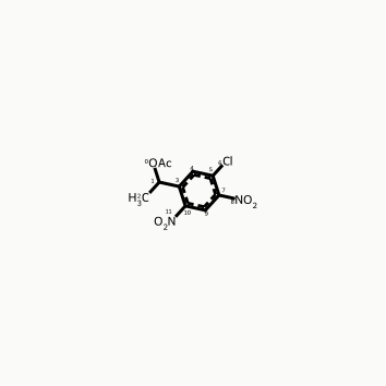 CC(=O)OC(C)c1cc(Cl)c([N+](=O)[O-])cc1[N+](=O)[O-]